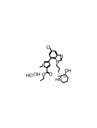 CCOC(=O)c1cc(-c2cc(Cl)cc3ncn(CCC[C@H]4NCCC[C@@H]4O)c23)cn1C.Cl.Cl